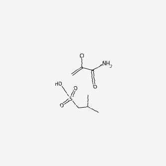 C=C(Cl)C(N)=O.CC(C)CS(=O)(=O)O